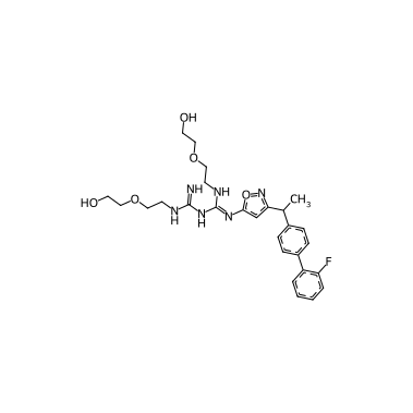 CC(c1ccc(-c2ccccc2F)cc1)c1cc(/N=C(\NCCOCCO)NC(=N)NCCOCCO)on1